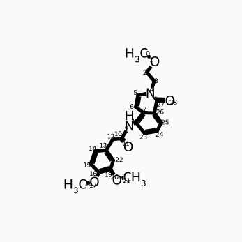 COCCn1ccc2c(NC(=O)Cc3ccc(OC)c(OC)c3)cccc2c1=O